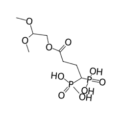 COC(COC(=O)CCC(P(=O)(O)O)P(=O)(O)O)OC